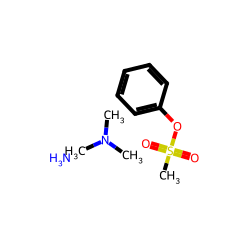 CN(C)C.CS(=O)(=O)Oc1ccccc1.N